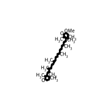 COC1CC(C)(C)C(/C=C/C(C)=C/C=C/C(C)=C/C=C/C=C(C)/C=C/C=C(C)/C=C/C2=C(C)C(=O)CCC2(C)C)=C(C)C1=O